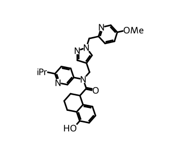 COc1ccc(Cn2cc(CN(C(=O)C3CCCc4c(O)cccc43)c3ccc(C(C)C)nc3)cn2)nc1